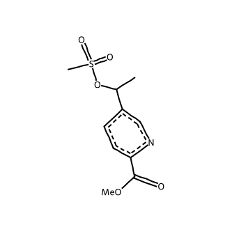 COC(=O)c1ccc(C(C)OS(C)(=O)=O)cn1